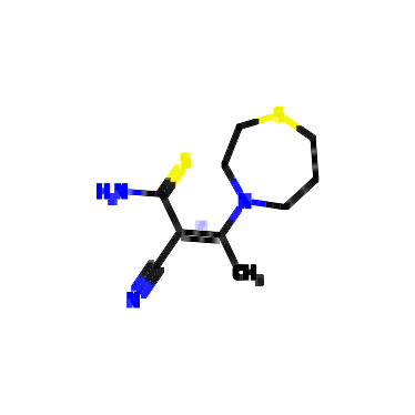 C/C(=C(\C#N)C(N)=S)N1CCCSCC1